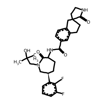 CC(C)(O)CN1C[C@H](c2cccc(F)c2F)CCC(NC(=O)c2ccc3c(c2)CCC2(CCNC2=O)C3)C1=O